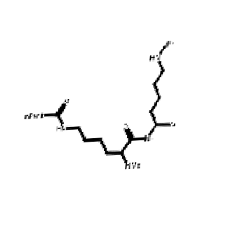 CCCCCC(=O)NCCCCC(NC)C(=O)NC(CCCCNC(C)C)C(C)=O